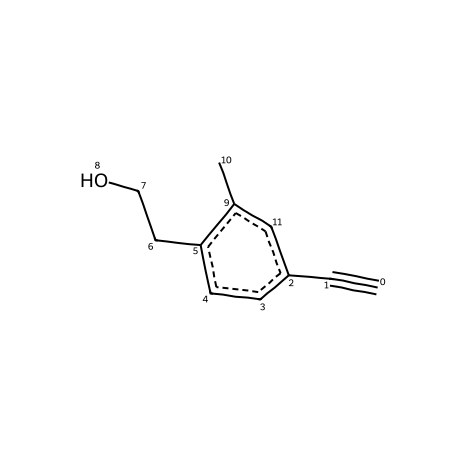 C#Cc1ccc(CCO)c(C)c1